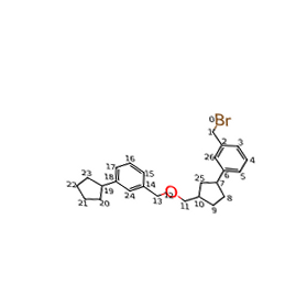 BrCc1cccc(C2CCC(COCc3cccc(C4CCCC4)c3)C2)c1